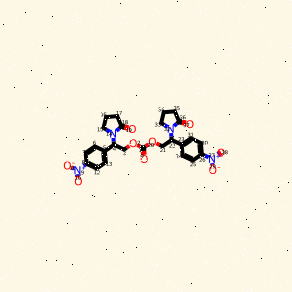 O=C(OCC(c1ccc([N+](=O)[O-])cc1)N1CCCC1=O)OCC(c1ccc([N+](=O)[O-])cc1)N1CCCC1=O